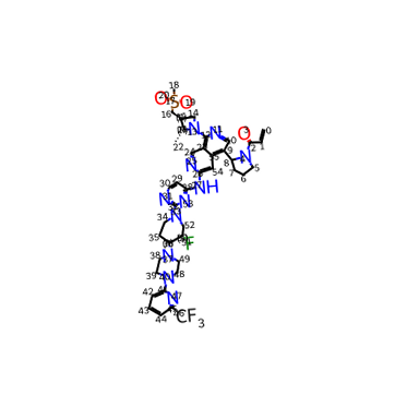 C=CC(=O)N1CCCC1c1cnc(N2C[C@H](CS(C)(=O)=O)[C@H]2C)c2cnc(Nc3ccnc(N4CC[C@@H](N5CCN(c6cccc(C(F)(F)F)n6)CC5)[C@@H](F)C4)n3)cc12